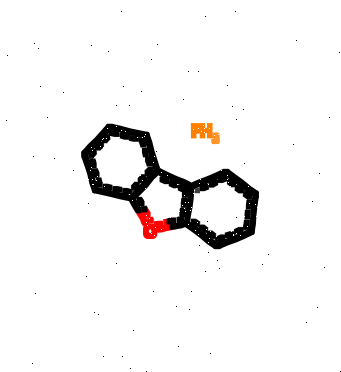 P.c1ccc2c(c1)oc1ccccc12